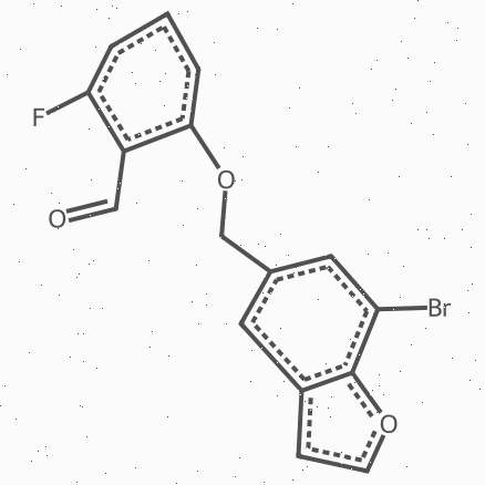 O=Cc1c(F)cccc1OCc1cc(Br)c2occc2c1